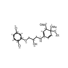 CCOC1(OC)C=CC(NCC(O)COc2cc(Cl)ccc2Cl)=CC1OC